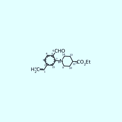 C=Cc1ccc(C=O)c(N2CCC(C(=O)OCC)CC2)c1